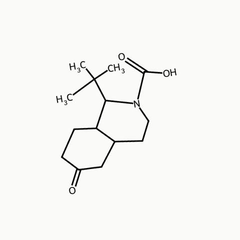 CC(C)(C)C1C2CCC(=O)CC2CCN1C(=O)O